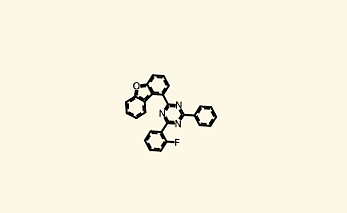 Fc1ccccc1-c1nc(-c2ccccc2)nc(-c2cccc3oc4ccccc4c23)n1